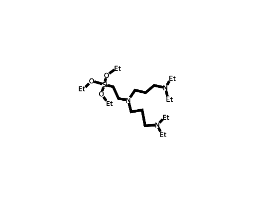 CCO[Si](CCN(CCCN(CC)CC)CCCN(CC)CC)(OCC)OCC